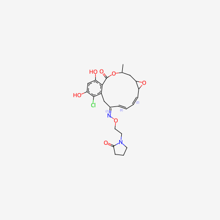 CC1CC2OC2\C=C/C=C/C(=N\OCCN2CCCC2=O)Cc2c(Cl)c(O)cc(O)c2C(=O)O1